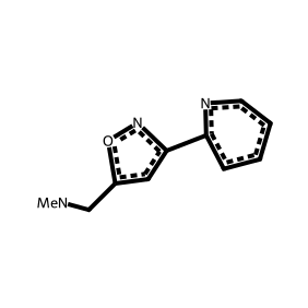 CNCc1cc(-c2ccccn2)no1